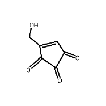 O=c1cc(CO)c(=O)c1=O